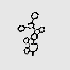 C=C1/C=C\C=C(\c2ccc3c(c2)c2ccccc2n3-c2cc(-c3ccccc3)cc(-c3ccccc3)c2)N(c2ccccc2)c2ccccc21